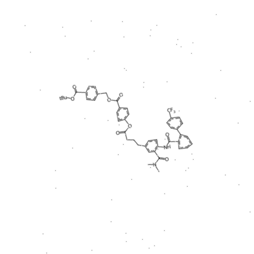 CN(C)C(=O)c1cc(CCCC(=O)Oc2ccc(C(=O)OCc3ccc(C(=O)OC(C)(C)C)cc3)cc2)ccc1NC(=O)c1ccccc1-c1ccc(C(F)(F)F)cc1